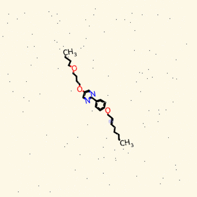 CCCCC/C=C/COc1ccc(-c2ncc(OCCCCOCCCC)cn2)cc1